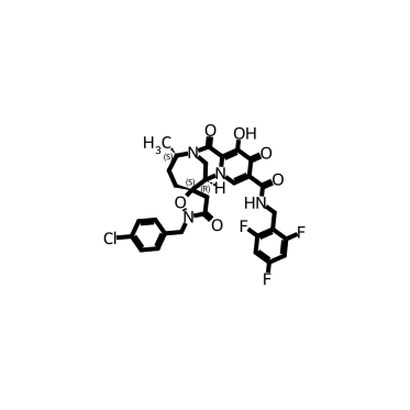 C[C@H]1CC[C@]2(CC(=O)N(Cc3ccc(Cl)cc3)O2)[C@H]2CN1C(=O)c1c(O)c(=O)c(C(=O)NCc3c(F)cc(F)cc3F)cn12